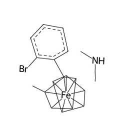 CNC.C[C]12[CH]3[CH]4[CH]5[C]1(c1ccccc1Br)[Fe]43521678[CH]2[CH]1[CH]6[CH]7[CH]28